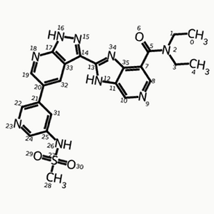 CCN(CC)C(=O)c1cncc2[nH]c(-c3n[nH]c4ncc(-c5cncc(NS(C)(=O)=O)c5)cc34)nc12